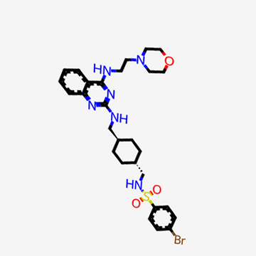 O=S(=O)(NC[C@H]1CC[C@H](CNc2nc(NCCN3CCOCC3)c3ccccc3n2)CC1)c1ccc(Br)cc1